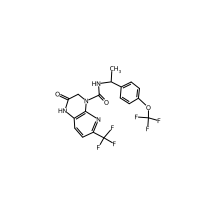 CC(NC(=O)N1CC(=O)Nc2ccc(C(F)(F)F)nc21)c1ccc(OC(F)(F)F)cc1